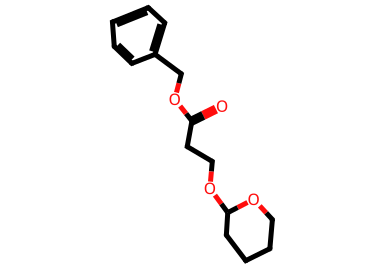 O=C(CCOC1CCCCO1)OCc1ccccc1